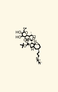 CSC1O[C@H]([C@H](NC(=O)[C@@H]2[C@@H]3OCC[C@@H](CCCN=[N+]=[N-])C[C@H]3CN2C(=O)OC(C)(C)C)[C@H](C)Cl)[C@@H](O)C(O)[C@H]1O